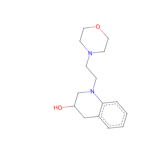 OC1Cc2[c]cccc2N(CCN2CCOCC2)C1